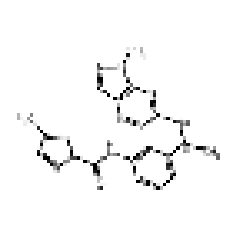 Cc1cnn(C(=O)Nc2cccc([C@H](C)Nc3cnc4cnn(C)c4n3)c2)c1